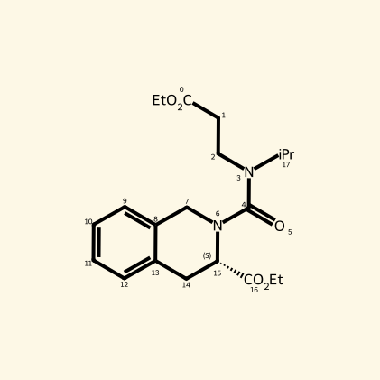 CCOC(=O)CCN(C(=O)N1Cc2ccccc2C[C@H]1C(=O)OCC)C(C)C